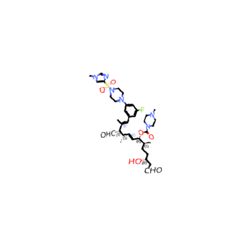 C/C(=C\c1cc(F)cc(N2CCN(S(=O)(=O)c3cn(C)cn3)CC2)c1)[C@@H](C=O)[C@@H](C)/C=C/[C@H](OC(=O)N1CCN(C)CC1)[C@@H](C)CC[C@@H](O)CC=O